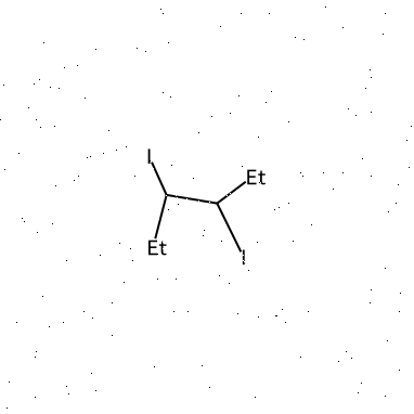 CCC(I)C(I)CC